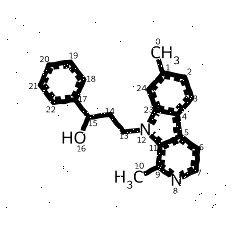 Cc1ccc2c3ccnc(C)c3n(CCC(O)c3ccccc3)c2c1